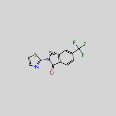 O=c1c2ccc(C(F)(F)F)cc2[se]n1-c1nccs1